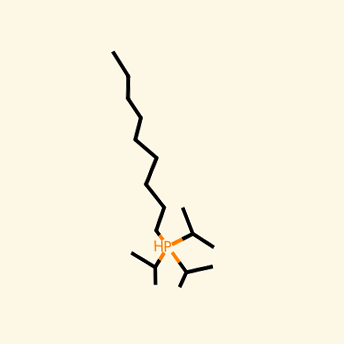 CCCCCCCCC[PH](C(C)C)(C(C)C)C(C)C